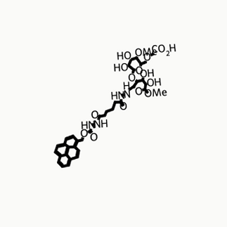 COC1OC(CNNC(=O)CCCCC(=O)NNC(=O)OCc2ccc3ccc4cccc5ccc2c3c45)C(OC2OC(COCC(=O)O)C(OC)C(O)C2O)C(O)C1O